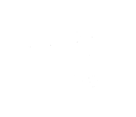 CCCOC(=O)CCCCCC[C@@H]1[C@@H](C=CC(=O)CCC[C@@H](C)O[Si](C)(C)C(C)(C)C)[C@H](OC2CCCCO2)C[C@H]1Cl